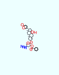 C[C@@H]1[C@@H](N=[N+]=[N-])COC(O[C@@H]2C=C3CCC4C(CC[C@]5(C)[C@@H](c6ccc(=O)oc6)CC[C@]45O)[C@@]3(C)CC2)[C@H]1OC(=O)c1ccccc1